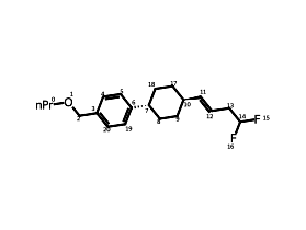 CCCOCc1ccc([C@H]2CC[C@H](C=CCC(F)F)CC2)cc1